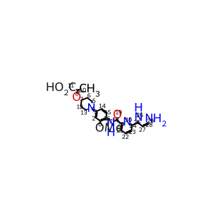 COc1cc(N2CCC(O[C@H](C)C(=O)O)CC2)ccc1NC(=O)c1cccc(C(=N)/C=C\N)n1